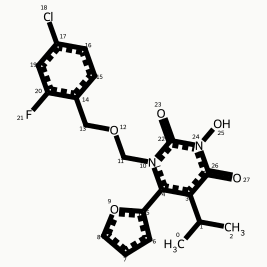 CC(C)c1c(-c2ccco2)n(COCc2ccc(Cl)cc2F)c(=O)n(O)c1=O